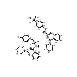 CC(C)(Cc1ccc(F)cc1)Nc1nc(N2CCCCC2)nc2ccccc12.FC(F)(F)c1ccc(CNc2nc(N3CCCCC3)c3ccccc3n2)cc1